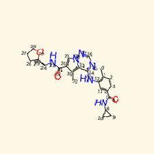 Cc1ccc(C(=O)NC2CC2)cc1Nc1ncnn2cc(C(=O)NC[C@H]3CCCO3)c(C)c12